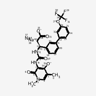 Cc1cn(C)c(=O)c(NC(=O)N[C@@H](CC(=O)[O-])c2cccc(-c3cccc(OC(F)(F)F)c3)c2)c1[O-].[Na+].[Na+]